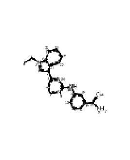 CCn1cc(-c2ccnc(Nc3cccc(C(N)=O)c3)n2)c2cccnc21